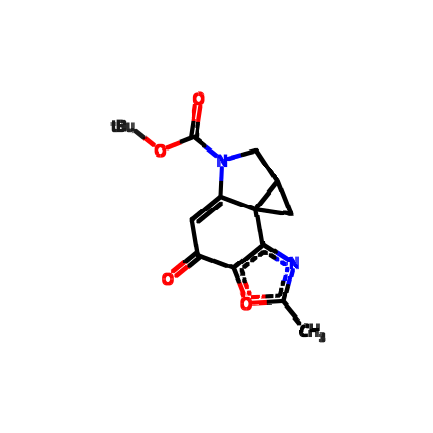 Cc1nc2c(o1)C(=O)C=C1N(C(=O)OC(C)(C)C)CC3CC123